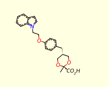 C[C@]1(C(=O)O)OC[C@H](Cc2ccc(OCCn3ccc4ccccc43)cc2)CO1